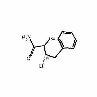 CC[C@@H](Cc1ccccc1)C(C(N)=O)C(C)(C)C